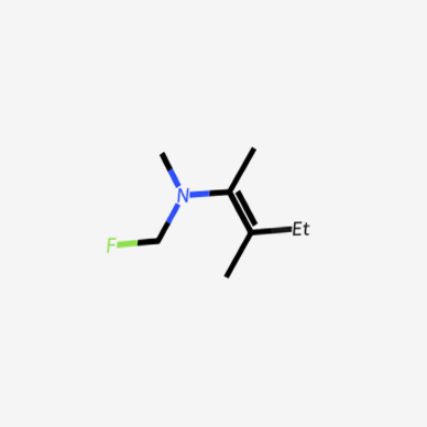 CC/C(C)=C(\C)N(C)CF